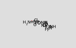 NC12CC(NC(=O)c3ccc(Nc4nccn5c(-c6c[nH]nc6C(F)(F)F)cnc45)cc3Cl)(C1)C2